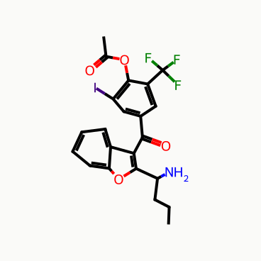 CCCC(N)c1oc2ccccc2c1C(=O)c1cc(I)c(OC(C)=O)c(C(F)(F)F)c1